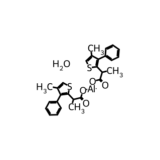 Cc1csc(C(C)C(=O)[O][Al][O]C(=O)C(C)c2scc(C)c2-c2ccccc2)c1-c1ccccc1.O